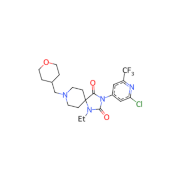 CCN1C(=O)N(c2cc(Cl)nc(C(F)(F)F)c2)C(=O)C12CCN(CC1CCOCC1)CC2